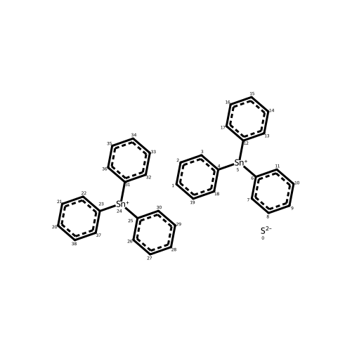 [S-2].c1cc[c]([Sn+]([c]2ccccc2)[c]2ccccc2)cc1.c1cc[c]([Sn+]([c]2ccccc2)[c]2ccccc2)cc1